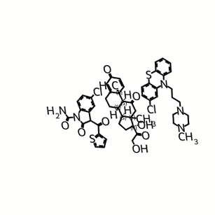 CN1CCN(CCCN2c3ccccc3Sc3ccc(Cl)cc32)CC1.C[C@]12C=CC(=O)C=C1CC[C@@H]1[C@@H]2C(=O)C[C@@]2(C)[C@H]1CC[C@]2(O)C(=O)CO.NC(=O)N1C(=O)C(C(=O)c2cccs2)c2cc(Cl)ccc21